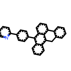 c1ccc(-c2ccc(-c3c4ccccc4c4c5c(cccc35)-c3ccccc3C4)cc2)nc1